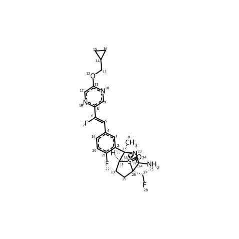 C[C@]1(c2cc(/C=C(\F)c3cnc(OCC4CC4)cn3)ccc2F)N=C(N)[C@@]2(CF)CC[C@@H]1S2(=O)=O